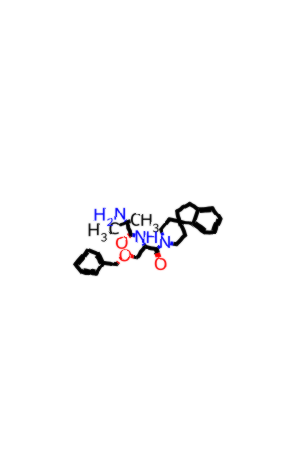 CC(C)(N)C(=O)NC(COCc1ccccc1)C(=O)N1CCC2(CCc3ccccc32)CC1